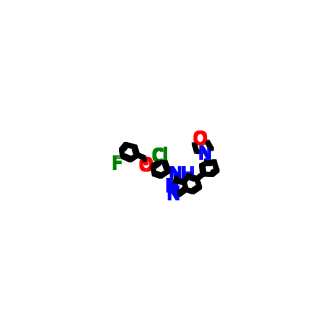 Fc1cccc(COc2ccc(Nc3nncc4ccc(-c5cccc(N6CCOCC6)c5)cc34)cc2Cl)c1